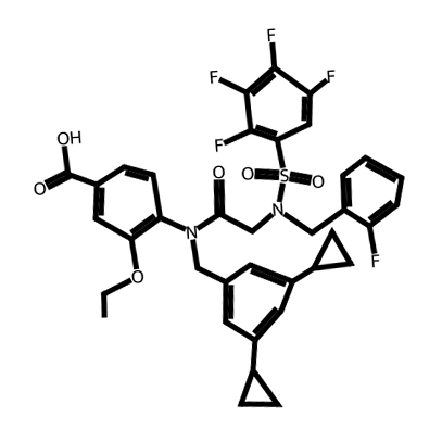 CCOc1cc(C(=O)O)ccc1N(Cc1cc(C2CC2)cc(C2CC2)c1)C(=O)CN(Cc1ccccc1F)S(=O)(=O)c1cc(F)c(F)c(F)c1F